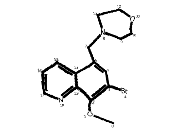 COc1c(Br)cc(CN2CCOCC2)c2cccnc12